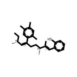 CC[C@@H](C)/C=C(/CC[C@@H](I)/C(C)=C/c1ccccc1S)c1cc(C)c(C)cc1C